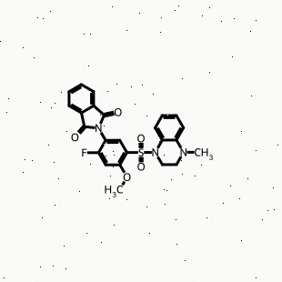 COc1cc(F)c(N2C(=O)c3ccccc3C2=O)cc1S(=O)(=O)N1CCN(C)c2ccccc21